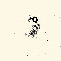 CC(=O)c1cccc(N2CSC(OC(=O)NC(C)(C)C)C2=O)c1